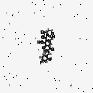 CCC1CCO[C@H]2Cn3cc(C(=O)NCc4ccc(F)cc4F)c(=O)c(O)c3C(=O)N12